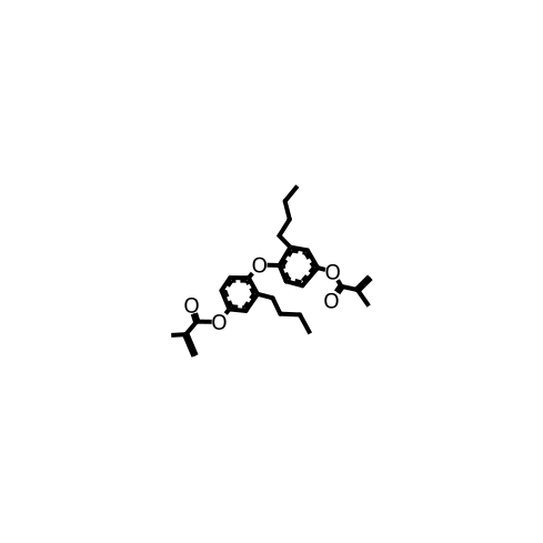 C=C(C)C(=O)Oc1ccc(Oc2ccc(OC(=O)C(=C)C)cc2CCCC)c(CCCC)c1